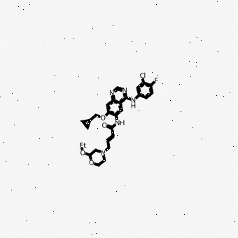 CCOC1CN(CC=CC(=O)Nc2cc3c(Nc4ccc(F)c(Cl)c4)ncnc3cc2OCC2CC2)CCO1